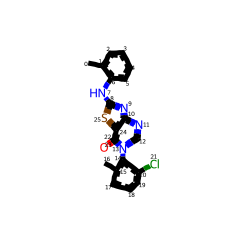 Cc1ccccc1Nc1nc2ncn(-c3c(C)cccc3Cl)c(=O)c2s1